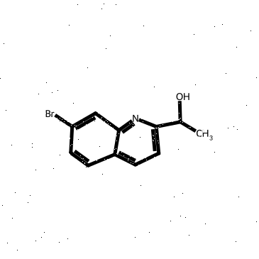 CC(O)c1ccc2ccc(Br)cc2n1